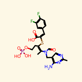 C/C(=C(\CCOP(=O)(O)O)S/C(=C/c1ccc(F)c(F)c1)C(=O)O)N(C=O)Cc1cnc(C)nc1N